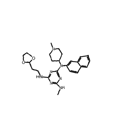 CNc1nc(NCCC2OCCO2)nc(N(c2ccc3ccccc3c2)C2CCN(C)CC2)n1